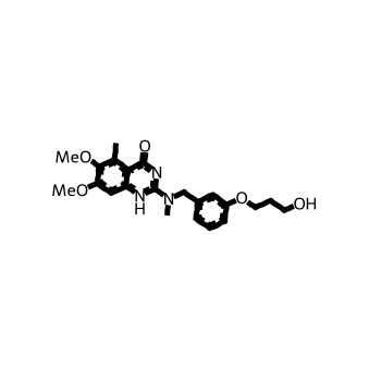 COc1cc2[nH]c(N(C)Cc3cccc(OCCCO)c3)nc(=O)c2c(C)c1OC